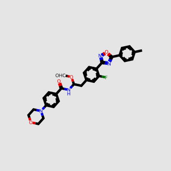 Cc1ccc(-c2nc(-c3ccc(CC(NC(=O)c4ccc(N5CCOCC5)cc4)OC=O)cc3F)no2)cc1